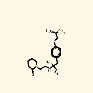 CCC(C)(Cc1ccc(OCC(C)C)cc1)NCCN1CCCCC1=O